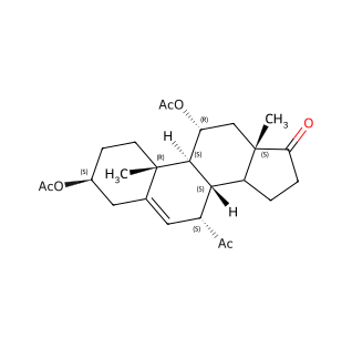 CC(=O)O[C@H]1CC[C@@]2(C)C(=C[C@@H](C(C)=O)[C@H]3C4CCC(=O)[C@@]4(C)C[C@@H](OC(C)=O)[C@@H]32)C1